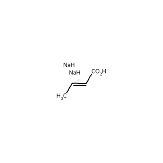 C/C=C/C(=O)O.[NaH].[NaH]